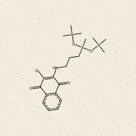 C[Si](C)(C)O[Si](C)(CCCNC1=C(Cl)C(=O)c2ccccc2C1=O)O[Si](C)(C)C